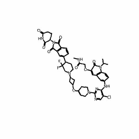 CNC(=O)COc1cc2cc(Nc3nc(N4CCC(OC5CC(N6CCC(c7ccc8c(c7)C(=O)N([C@@H]7CCC(=O)NC7=O)C8=O)C(F)(F)C6)C5)CC4)ncc3Cl)ccc2n(C(C)C)c1=O